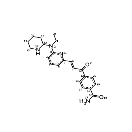 CCN(c1cccc(C=CC(=O)c2ccc(C(N)=O)cc2)n1)C1CCCCN1